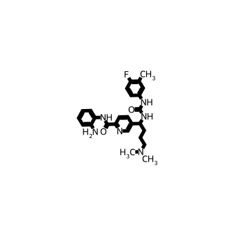 Cc1cc(NC(=O)NC(CCCN(C)C)c2ccc(C(=O)Nc3ccccc3N)nc2)ccc1F